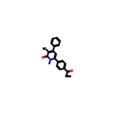 COC(=O)c1ccc(-c2cc(-c3ccccc3)c(C#N)c(=O)n2C)cc1